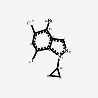 Clc1cc(I)c2c(cnn2C2CC2)c1Br